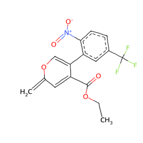 C=C1C=C(C(=O)OCC)C(c2cc(C(F)(F)F)ccc2[N+](=O)[O-])=CO1